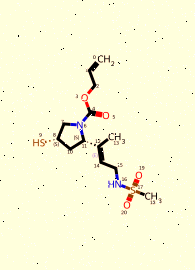 C=CCOC(=O)N1C[C@@H](S)C[C@H]1/C(C)=C/CNS(C)(=O)=O